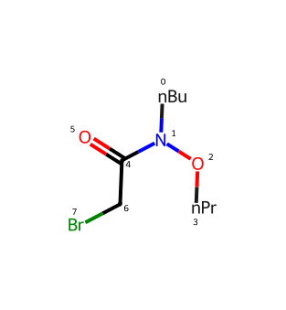 CCCCN(OCCC)C(=O)CBr